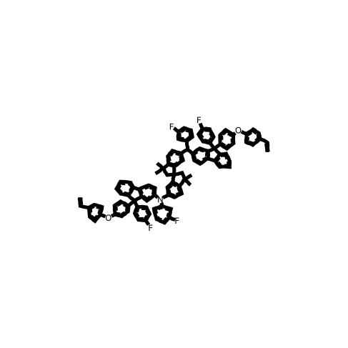 C=Cc1ccc(Oc2ccc(C3(c4ccc(F)cc4)c4ccccc4-c4ccc(C(c5cccc(F)c5)c5ccc6c(c5)C5(CC6(C)C)CC(C)(C)c6ccc(N(c7cccc(F)c7)c7ccc8c(c7)C(c7ccc(F)cc7)(c7ccc(Oc9ccc(C=C)cc9)cc7)c7ccccc7-8)cc65)cc43)cc2)cc1